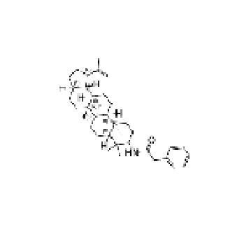 C=C(C)[C@@H]1CC[C@@H]2CC[C@]3(C)[C@H](CC[C@@H]4[C@@]5(C)CCC(NC(=O)Cc6ccccc6)C(C)(C)[C@@H]5CC[C@]43C)[C@H]21